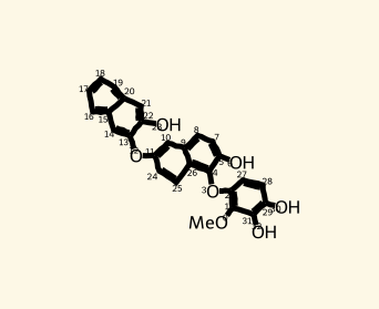 COc1c(Oc2c(O)ccc3cc(Oc4cc5ccccc5cc4O)ccc23)ccc(O)c1O